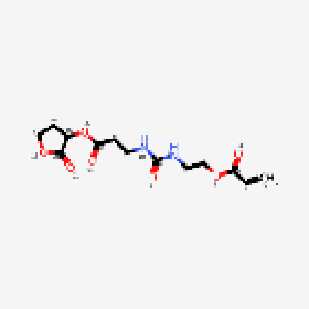 C=CC(=O)OCCNC(=O)NCCC(=O)OC1CCOC1=O